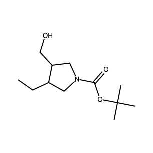 CCC1CN(C(=O)OC(C)(C)C)CC1CO